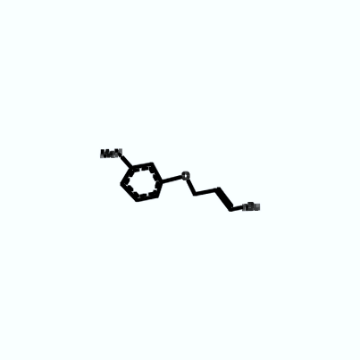 CCCCC=CCOc1cccc(NC)c1